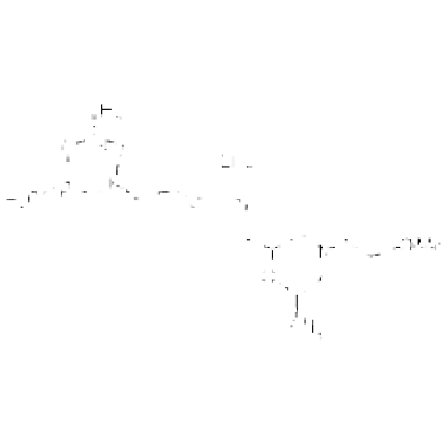 COCCN1CC(C)OC(CCC(C)OCCN2C[C@@H](C)O[C@@H](C)C2)C1